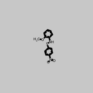 COc1ccccc1NSc1ccc([N+](=O)[O-])cc1